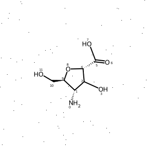 N[C@H]1C(O)[C@@H](C(=O)O)O[C@@H]1CO